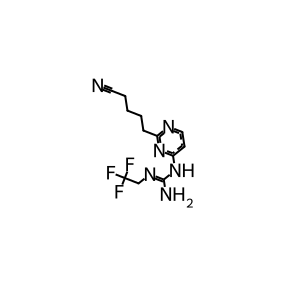 N#CCCCCc1nccc(NC(N)=NCC(F)(F)F)n1